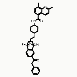 Cc1ccc2c(C(=O)N[C@H]3CC[C@H](CCN4[C@@H]5CC[C@H]4c4ccc(C(=O)Cc6ccccc6)cc45)CC3)ccc(C)c2n1